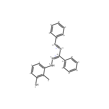 Cc1c(S)cccc1N/N=C(/N=N/c1ccccc1)c1ccccc1